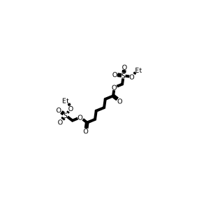 CCOS(=O)(=O)COC(=O)CCCCC(=O)OCS(=O)(=O)OCC